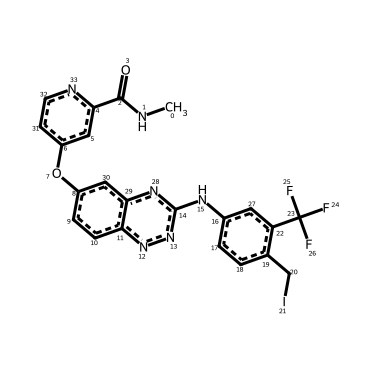 CNC(=O)c1cc(Oc2ccc3nnc(Nc4ccc(CI)c(C(F)(F)F)c4)nc3c2)ccn1